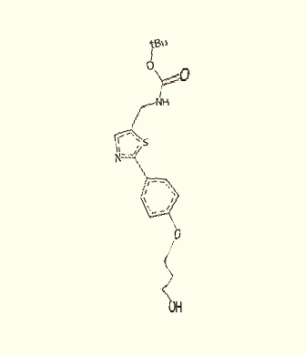 CC(C)(C)OC(=O)NCc1cnc(-c2ccc(OCCCO)cc2)s1